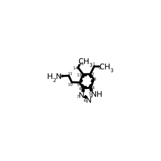 CCc1cc2[nH]nnc2c(CCN)c1CC